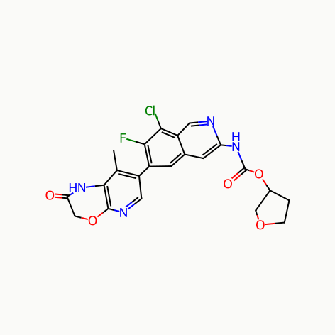 Cc1c(-c2cc3cc(NC(=O)OC4CCOC4)ncc3c(Cl)c2F)cnc2c1NC(=O)CO2